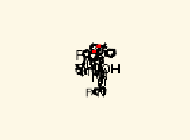 CC(C)[Si](C#Cc1c(F)ccc2cc(O[Si](c3ccccc3)(c3ccccc3)C(C)(C)C)cc(Oc3nc4nc(OC[C@@]56CCCN5C[C@H](F)C6)nc(O)c4n3C3CCC3)c12)(C(C)C)C(C)C